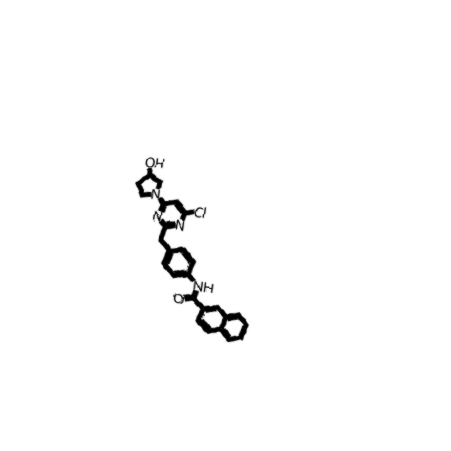 O=C(Nc1ccc(Cc2nc(Cl)[c]c(N3CCC(O)C3)n2)cc1)c1ccc2ccccc2c1